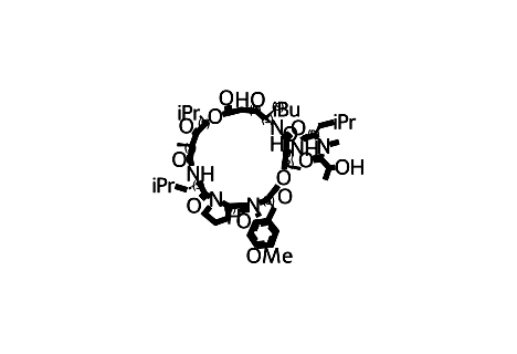 CC[C@H](C)[C@@H]1NC(=O)[C@@H](NC(=O)[C@@H](CC(C)C)N(C)C(=O)C(C)O)[C@@H](C)OC(=O)[C@H](Cc2ccc(OC)cc2)N(C)C(=O)[C@@H]2CCCN2C(=O)[C@H](CC(C)C)NC(=O)[C@@H](C)C(=O)[C@H](C(C)C)OC(=O)C[C@@H]1O